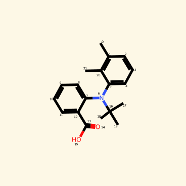 Cc1cccc(N(c2ccccc2C(=O)O)C(C)(C)C)c1C